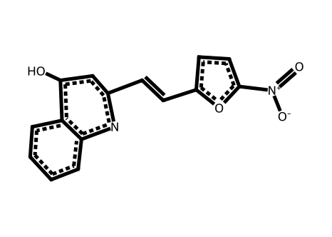 O=[N+]([O-])c1ccc(C=Cc2cc(O)c3ccccc3n2)o1